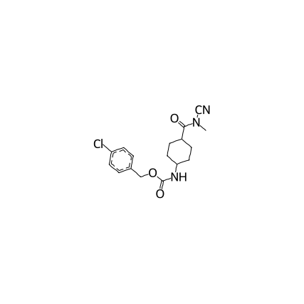 CN(C#N)C(=O)C1CCC(NC(=O)OCc2ccc(Cl)cc2)CC1